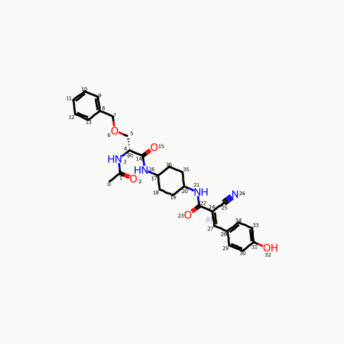 CC(=O)N[C@H](COCc1ccccc1)C(=O)NC1CCC(NC(=O)/C(C#N)=C/c2ccc(O)cc2)CC1